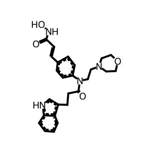 O=C(/C=C/c1ccc(N(CCN2CCOCC2)C(=O)CCc2c[nH]c3ccccc23)cc1)NO